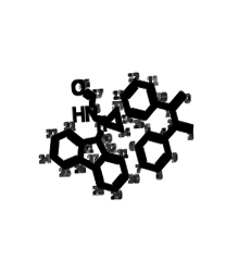 C=C(C(=C)c1ccccc1)c1ccccc1.O=C[NH][Ti]1([CH]2c3ccccc3-c3ccccc32)[CH2][CH2]1